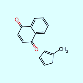 CC1=CC=CC1.O=C1C=CC(=O)c2ccccc21